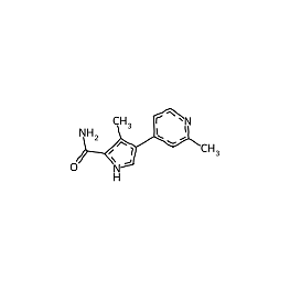 Cc1cc(-c2c[nH]c(C(N)=O)c2C)ccn1